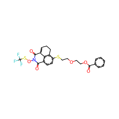 O=C(OCCOCCSc1ccc2c3c1CCC=C3C(=O)N(OSC(F)(F)F)C2=O)c1ccccc1